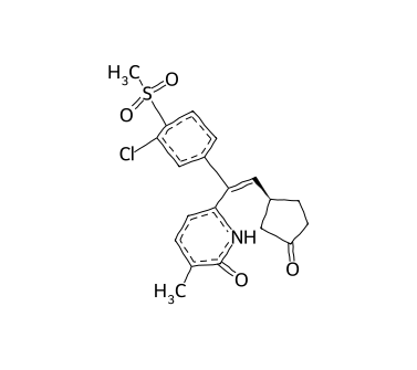 Cc1ccc(/C(=C\[C@H]2CCC(=O)C2)c2ccc(S(C)(=O)=O)c(Cl)c2)[nH]c1=O